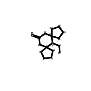 CCP1C2(CCCC2)CC(=O)CC12CCCC2